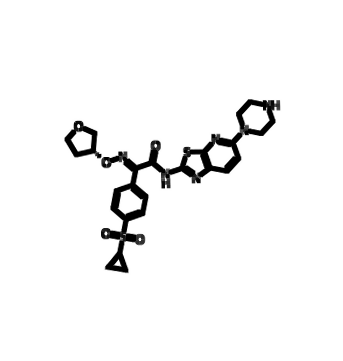 O=C(Nc1nc2ccc(N3CCNCC3)nc2s1)/C(=N/O[C@@H]1CCOC1)c1ccc(S(=O)(=O)C2CC2)cc1